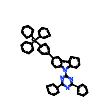 c1ccc(-c2nc(-c3ccccc3)nc(-n3c4ccccc4c4cc(-c5ccc([Si](c6ccccc6)(c6ccccc6)c6ccccc6)cc5)ccc43)n2)cc1